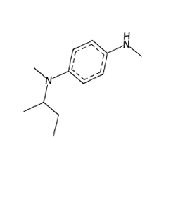 CCC(C)N(C)c1ccc(NC)cc1